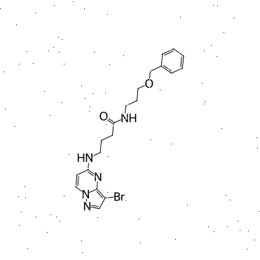 O=C(CCCNc1ccn2ncc(Br)c2n1)NCCCOCc1ccccc1